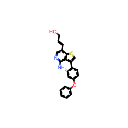 Nc1ncc(C=CCO)c2scc(-c3ccc(Oc4ccccc4)cc3)c12